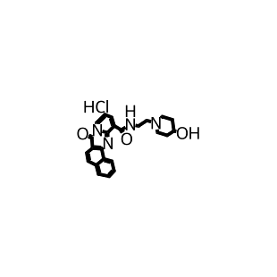 Cl.O=C(NCCN1CCC(O)CC1)c1cccn2c(=O)c3ccc4ccccc4c3nc12